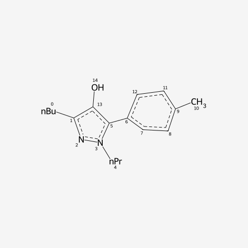 CCCCc1nn(CCC)c(-c2ccc(C)cc2)c1O